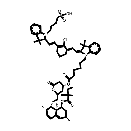 CCC(C)(C)C(=O)O[C@H]1C[C@@H](C)C=C2C=C[C@H](C)[C@H](CC[C@@H]3C[C@@H](OC(=O)CCCCCN4/C(=C/C=C5\CCCC(/C=C/C6=[N+](CCCCS(=O)(=O)O)c7ccccc7C6(C)C)=C5Cl)C(C)(C)c5ccccc54)CC(=O)O3)[C@H]21